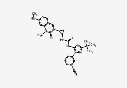 CNc1ncc2cc(C3CC3NC(=O)Nc3cc(C(C)(C)C)nn3-c3cccc(C#N)c3)c(=O)n(C)c2n1